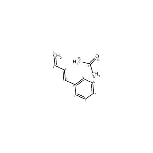 C=CC=Cc1ccccc1.CC(C)=O